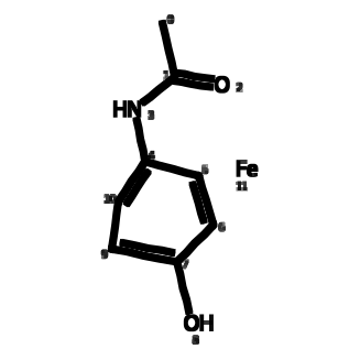 CC(=O)Nc1ccc(O)cc1.[Fe]